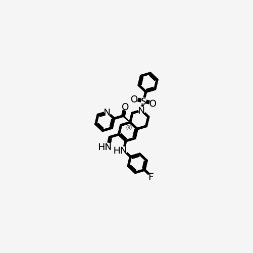 N=CC1=C(Nc2ccc(F)cc2)C=C2CCN(S(=O)(=O)c3ccccc3)C[C@@]2(C(=O)c2ccccn2)C1